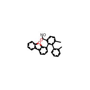 Cc1ccccc1-c1c(C)ccc(C(=O)N=O)c1-c1cccc2c1oc1ccccc12